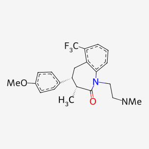 CNCCN1C(=O)[C@H](C)[C@H](c2ccc(OC)cc2)Cc2c1cccc2C(F)(F)F